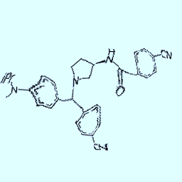 CC(C)N(C)c1ccc(C(c2ccc(C#N)cc2)N2CC[C@@H](NC(=O)c3ccc(C#N)cc3)C2)cc1